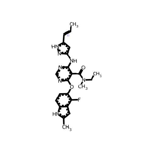 C/C=C/c1cc(Nc2ncnc(Oc3ccc4[nH]c(C)cc4c3F)c2C(=O)N(C)CC)n[nH]1